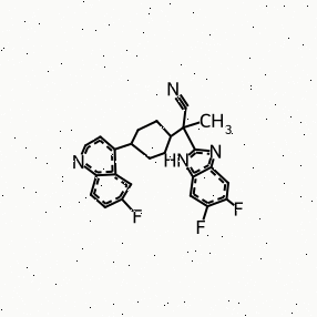 CC(C#N)(c1nc2cc(F)c(F)cc2[nH]1)C1CCC(c2ccnc3ccc(F)cc23)CC1